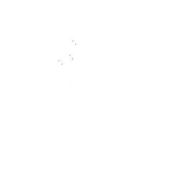 O=C(CCc1ccccc1)Cn1nccn1